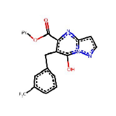 CC(C)OC(=O)c1nc2ccnn2c(O)c1Cc1cccc(C(F)(F)F)c1